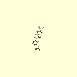 CC(=O)Oc1cccc(C(=O)Nc2ccc([N+](=O)[O-])cc2)c1